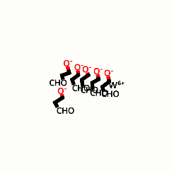 O=CCC[O-].O=CCC[O-].O=CCC[O-].O=CCC[O-].O=CCC[O-].O=CCC[O-].[W+6]